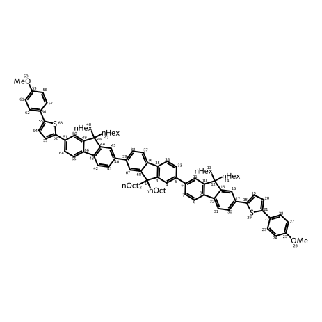 CCCCCCCCC1(CCCCCCCC)c2cc(-c3ccc4c(c3)C(CCCCCC)(CCCCCC)c3cc(-c5ccc(-c6ccc(OC)cc6)s5)ccc3-4)ccc2-c2ccc(-c3ccc4c(c3)C(CCCCCC)(CCCCCC)c3cc(-c5ccc(-c6ccc(OC)cc6)s5)ccc3-4)cc21